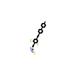 Cc1ccc(-c2ccc(C#Cc3cc(F)c(C#CN=C=S)c(F)c3)cc2)cc1